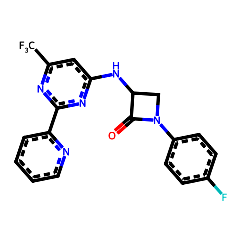 O=C1C(Nc2cc(C(F)(F)F)nc(-c3ccccn3)n2)CN1c1ccc(F)cc1